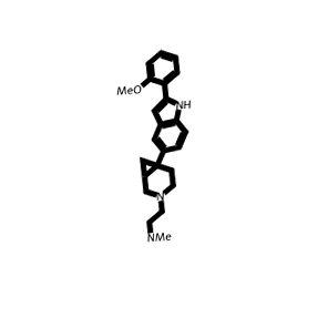 CNCCN1CCC2(c3ccc4[nH]c(-c5ccccc5OC)cc4c3)CC2C1